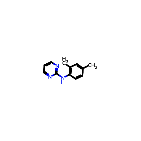 Cc1ccc(Nc2ncccn2)c(C)c1